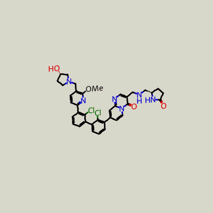 COc1nc(-c2cccc(-c3cccc(-c4ccn5c(=O)c(CNC[C@H]6CCC(=O)N6)cnc5c4)c3Cl)c2Cl)ccc1CN1CC[C@H](O)C1